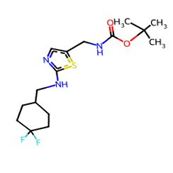 CC(C)(C)OC(=O)NCc1cnc(NCC2CCC(F)(F)CC2)s1